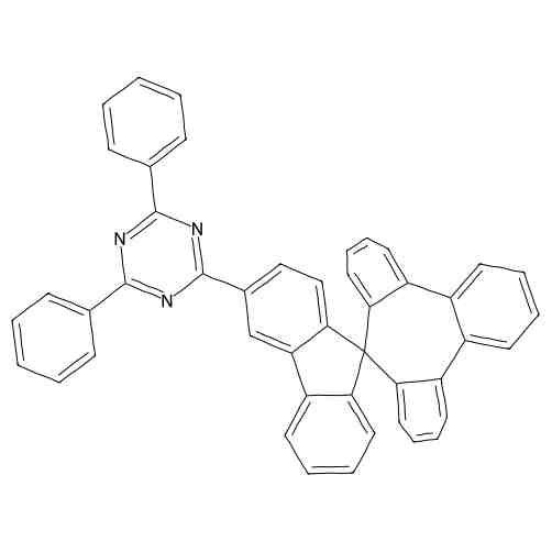 c1ccc(-c2nc(-c3ccccc3)nc(-c3ccc4c(c3)-c3ccccc3C43c4ccccc4-c4ccccc4-c4ccccc43)n2)cc1